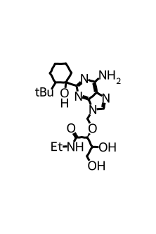 CCNC(=O)[C@@H](OCn1cnc2c(N)nc(C3(O)CCCCC3C(C)(C)C)nc21)C(O)CO